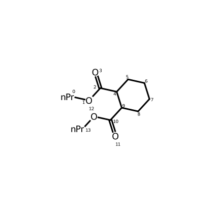 CCCOC(=O)C1CCCCC1C(=O)OCCC